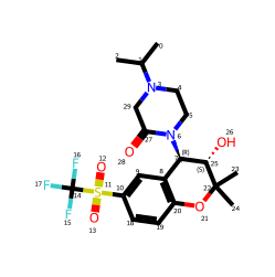 CC(C)N1CCN([C@@H]2c3cc(S(=O)(=O)C(F)(F)F)ccc3OC(C)(C)[C@H]2O)C(=O)C1